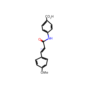 COc1ccc(/C=C/C(=O)Nc2ccc(C(=O)O)cc2)cc1